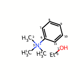 CCO.C[N+](C)(C)c1ccccc1